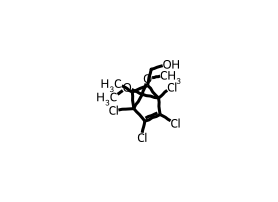 COC1(OC)C2(Cl)C(Cl)=C(Cl)C1(Cl)C(CO)C2C